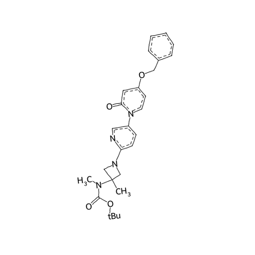 CN(C(=O)OC(C)(C)C)C1(C)CN(c2ccc(-n3ccc(OCc4ccccc4)cc3=O)cn2)C1